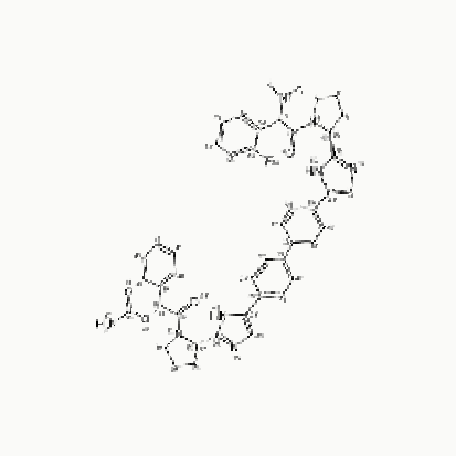 CN(C)C(C(=O)N1CCC[C@H]1c1ncc(-c2ccc(-c3ccc(-c4cnc([C@@H]5CCCN5C(=O)[C@H](OC(N)=O)c5ccccc5)[nH]4)cc3)cc2)[nH]1)c1ccccc1F